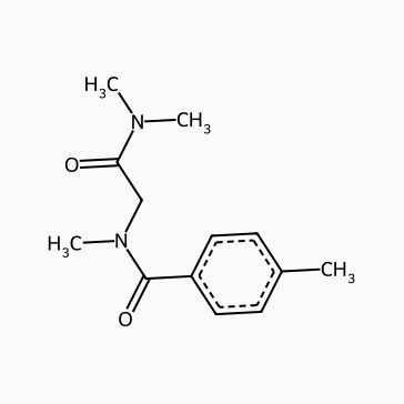 Cc1ccc(C(=O)N(C)CC(=O)N(C)C)cc1